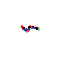 Br.CN(C(=O)c1ccc(Cl)c(Cl)c1)c1ccc(Oc2ccc3cc(C(=O)N4CCN(Cc5ccc6c(c5)OC(F)(F)O6)CC4)n(C)c3c2)nc1